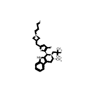 C[C@@H]1Cc2c([nH]c3ccccc23)[C@@H](c2sc(CC3CN(CCCF)C3)cc2F)N1CC(C)(C)F